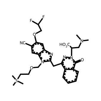 CN(C)CC(C(=O)O)n1nc(Cc2nc3cc(OCC(F)F)c(C#N)cc3n2COCCS(C)(C)C)c2ccccc2c1=O